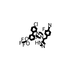 N#Cc1ccc(CC(c2cnc[nH]2)N2CCN(c3cc(Cl)ccc3-c3cccc(OC(=O)C(F)(F)F)c3)C(=O)C2)cc1F